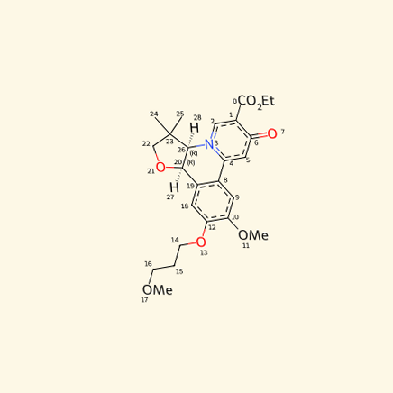 CCOC(=O)c1cn2c(cc1=O)-c1cc(OC)c(OCCCOC)cc1[C@H]1OCC(C)(C)[C@H]12